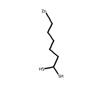 SC(S)CCCC[CH2][Zn]